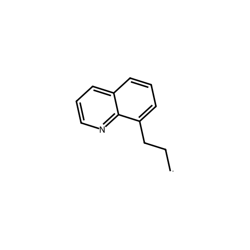 [CH2]CCc1cccc2cccnc12